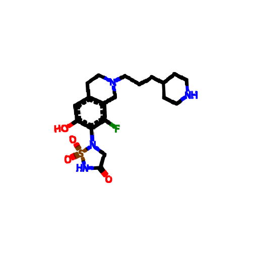 O=C1CN(c2c(O)cc3c(c2F)CN(CCCC2CCNCC2)CC3)S(=O)(=O)N1